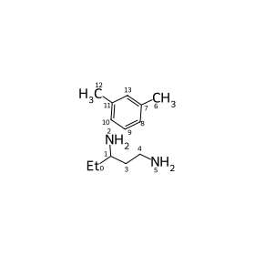 CCC(N)CCN.Cc1cccc(C)c1